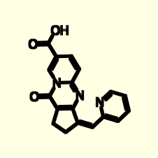 O=C(O)c1ccc2nc3c(c(=O)n2c1)CC/C3=C/c1ccccn1